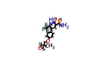 CC1(COc2ccc(-c3cc(C(N)=O)c(=O)[nH]c3C(F)(F)F)cc2)COC1